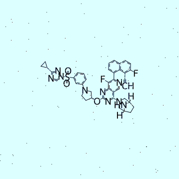 C#Cc1c(F)ccc2cccc(-c3ncc4c(N5C[C@H]6CC[C@@H](C5)N6)nc(O[C@H]5CCN(c6cccc(S(=O)(=O)n7cnc(C8CC8)n7)c6)C5)nc4c3F)c12